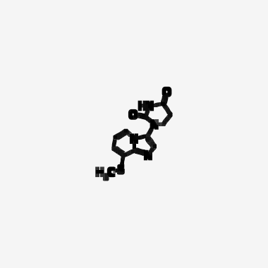 CSc1cccn2c(N3CCC(=O)NC3=O)cnc12